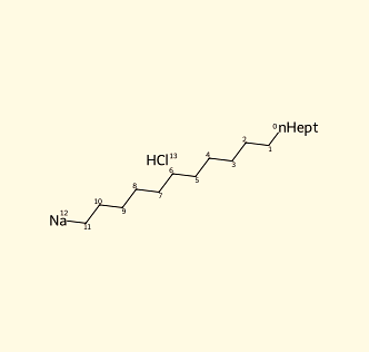 CCCCCCCCCCCCCCCCC[CH2][Na].Cl